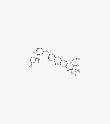 CCN1C(=O)C(C)(C)Oc2ccc(Nc3nc(Nc4ccc5c(c4)[C@@H]4NC(=O)OC4C5)ncc3C)cc21